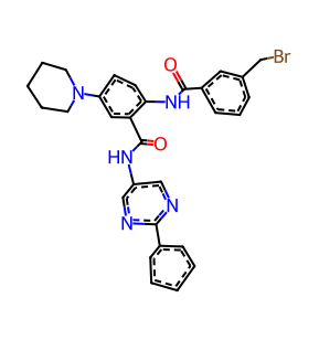 O=C(Nc1ccc(N2CCCCC2)cc1C(=O)Nc1cnc(-c2ccccc2)nc1)c1cccc(CBr)c1